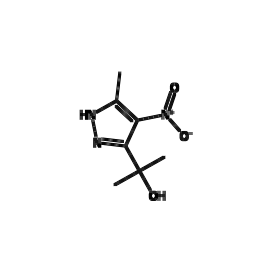 Cc1[nH]nc(C(C)(C)O)c1[N+](=O)[O-]